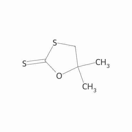 CC1(C)CSC(=S)O1